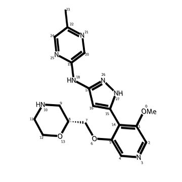 COc1cncc(OC[C@H]2CNCCO2)c1-c1cc(Nc2cnc(C)cn2)n[nH]1